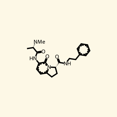 CN[C@@H](C)C(=O)Nc1ccc2n(c1=O)[C@H](C(=O)NCCc1ccccc1)CC2